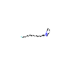 FCCCCCCCCCCCCCCCN1CCCCC1